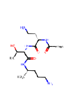 CCCCCCCC(=O)N[C@@H](CCN)C(=O)N[C@H](C(=O)N[C@H](CCCN)C(=O)O)[C@@H](C)O